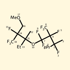 CCCC(C)(F)C(F)(C(F)(F)F)C(F)(F)OC(C)(CC)C(F)(COC)C(F)(F)F